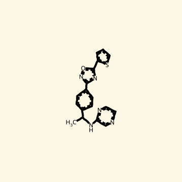 CC(Nc1cnccn1)c1ccc(-c2noc(-c3cccs3)n2)cc1